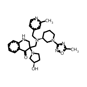 Cc1cc(CN(CC2(N3CC[C@@H](O)C3)CNc3ccccc3C2=O)[C@H]2CCCN(c3noc(C)n3)C2)ccn1